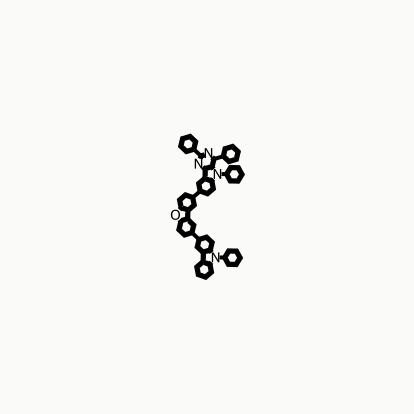 c1ccc(-c2nc(-c3ccccc3)c3c(n2)c2cc(-c4ccc5oc6ccc(-c7ccc8c(c7)c7ccccc7n8-c7ccccc7)cc6c5c4)ccc2n3-c2ccccc2)cc1